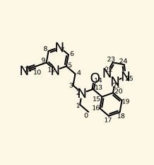 CCN(CCc1cncc(C#N)n1)C(=O)c1ccccc1-n1nccn1